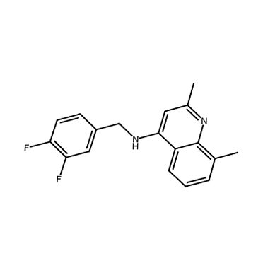 Cc1cc(NCc2ccc(F)c(F)c2)c2cccc(C)c2n1